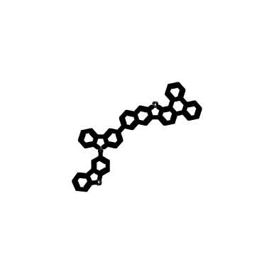 c1ccc2c(c1)oc1ccc(-n3c4ccccc4c4cc(-c5ccc6cc7oc8c(ccc9c%10ccccc%10c%10ccccc%10c98)c7cc6c5)ccc43)cc12